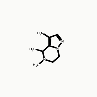 CC1c2c(N)cnn2CCN1C